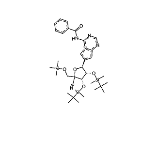 CC(C)(C)[Si](C)(C)O[C@H]1[C@H](c2cc3ncnc(NC(=O)c4ccccc4)n3c2)OC(C#N)(CO[Si](C)(C)C)[C@H]1O[Si](C)(C)C(C)(C)C